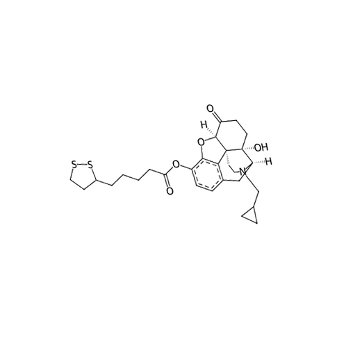 O=C(CCCCC1CCSS1)Oc1ccc2c3c1O[C@H]1C(=O)CC[C@@]4(O)[C@@H](C2)N(CC2CC2)CC[C@]314